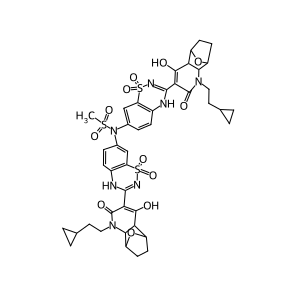 CS(=O)(=O)N(c1ccc2c(c1)S(=O)(=O)N=C(C1=C(O)C3C4CCC(O4)C3N(CCC3CC3)C1=O)N2)c1ccc2c(c1)S(=O)(=O)N=C(C1=C(O)C3C4CCC(O4)C3N(CCC3CC3)C1=O)N2